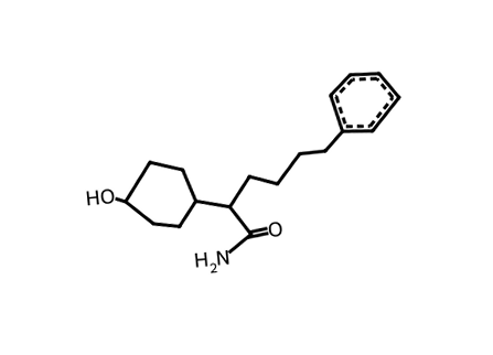 NC(=O)C(CCCCc1ccccc1)C1CCC(O)CC1